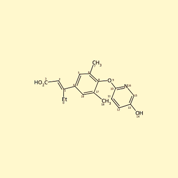 CC/C(=C\C(=O)O)c1cc(C)c(Oc2ccc(O)cn2)c(C)c1